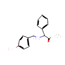 COC(=O)C(NCc1ccc(O)cc1)c1ccccc1